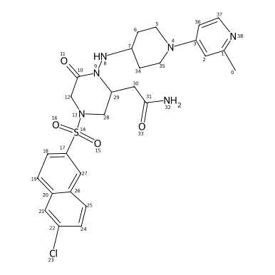 Cc1cc(N2CCC(NN3C(=O)CN(S(=O)(=O)c4ccc5cc(Cl)ccc5c4)CC3CC(N)=O)CC2)ccn1